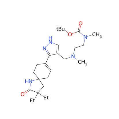 CCC1(CC)CC2(CC=C(c3n[nH]cc3CN(C)CCN(C)C(=O)OC(C)(C)C)CC2)NC1=O